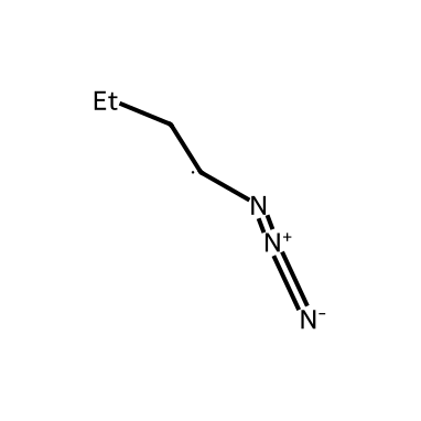 CCC[CH]N=[N+]=[N-]